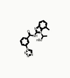 CCCCC(C)n1c(NC(=O)c2cccc(-n3cnnn3)c2)nc2cccc(C)c21